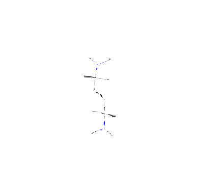 CN(C)C(C)(C)CCC(C)(C)N(C)C